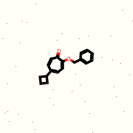 O=c1ccc(C2CCC2)ccc1OCc1ccccc1